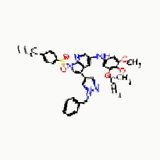 COc1cc(Nc2cnc3c(c2)c(-c2cnn(Cc4ccccc4)c2)cn3S(=O)(=O)c2ccc(C)cc2)cc(OC)c1OC